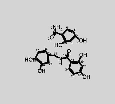 NC(=O)c1ccc(O)cc1O.O=C(NCc1ccc(O)c(O)c1)c1ccc(O)cc1O